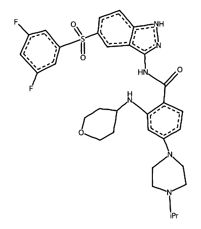 CC(C)N1CCN(c2ccc(C(=O)Nc3n[nH]c4ccc(S(=O)(=O)c5cc(F)cc(F)c5)cc34)c(NC3CCOCC3)c2)CC1